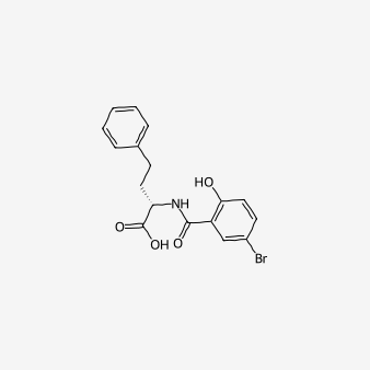 O=C(N[C@@H](CCc1ccccc1)C(=O)O)c1cc(Br)ccc1O